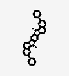 Cn1c2cc3c4ccc5ccc(-c6ccccc6)cc5c4n(C)c3cc2c2ccc3ccc(-c4ccccc4)cc3c21